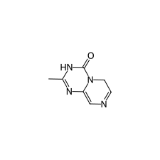 CC1=NC2=CN=CCN2C(=O)N1